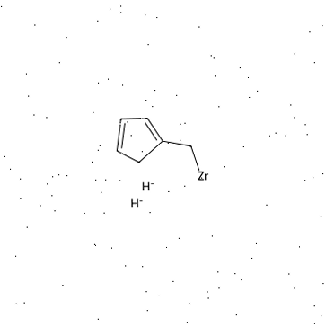 [H-].[H-].[Zr][CH2]C1=CC=CC1